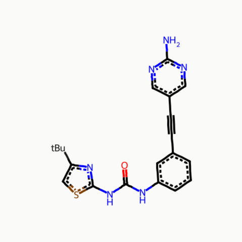 CC(C)(C)c1csc(NC(=O)Nc2cccc(C#Cc3cnc(N)nc3)c2)n1